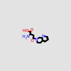 NC(CC(=O)N1CCc2cccnc2C1)C(=O)O